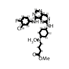 COC(=O)CCCN(C)C1CCC(Nc2ncc3ncnc(Nc4ccc(F)c(Cl)c4)c3n2)CC1